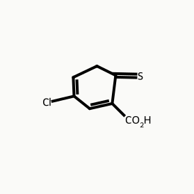 O=C(O)C1=CC(Cl)=CCC1=S